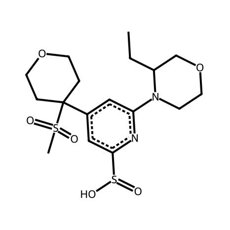 CCC1COCCN1c1cc(C2(S(C)(=O)=O)CCOCC2)cc(S(=O)O)n1